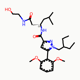 CCC(CC)Cn1nc(C(=O)N[C@H](CC(=O)NCCO)CC(C)C)cc1-c1c(OC)cccc1OC